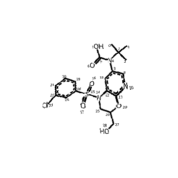 CC(C)(C)N(C(=O)O)c1cnc2c(c1)N(S(=O)(=O)c1cccc(Cl)c1)CC(CO)O2